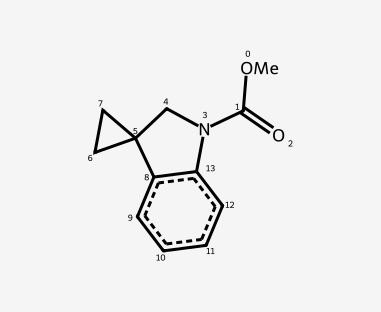 COC(=O)N1CC2(CC2)c2ccccc21